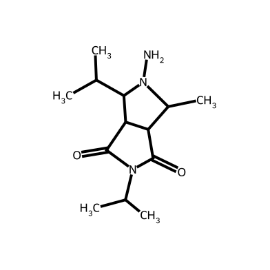 CC(C)C1C2C(=O)N(C(C)C)C(=O)C2C(C)N1N